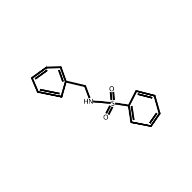 O=S(=O)(NCc1c[c]ccc1)c1ccccc1